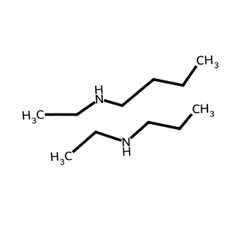 CCCCNCC.CCCNCC